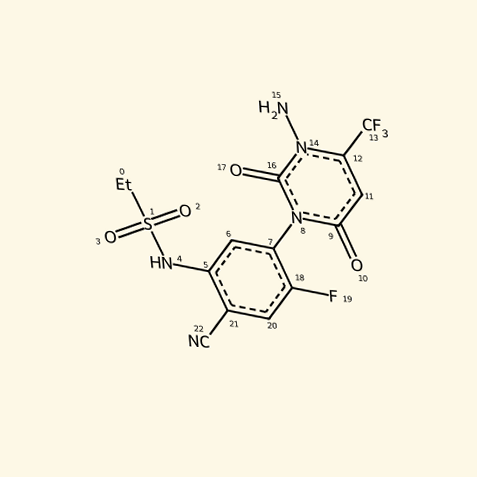 CCS(=O)(=O)Nc1cc(-n2c(=O)cc(C(F)(F)F)n(N)c2=O)c(F)cc1C#N